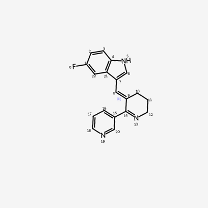 Fc1ccc2[nH]cc(/C=C3\CCCN=C3c3cccnc3)c2c1